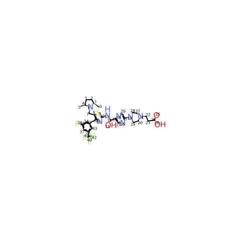 C[C@@H]1CC[C@H](C)N1Cc1sc(NC(O)c2cnc(N3CCN(CCC(=O)O)CC3)cn2)nc1-c1cc(F)cc(C(F)(F)F)c1